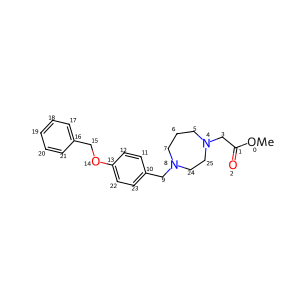 COC(=O)CN1CCCN(Cc2ccc(OCc3ccccc3)cc2)CC1